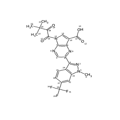 Cn1nc(-c2cnc3c(n2)c(C(=O)O)cn3C(=O)C(=O)C(C)(C)C)c2ccc(C(F)(F)F)cc21